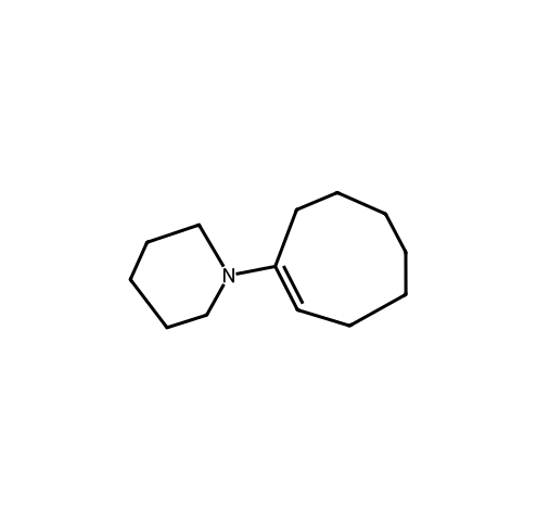 C1=C(N2CCCCC2)CCCCCC1